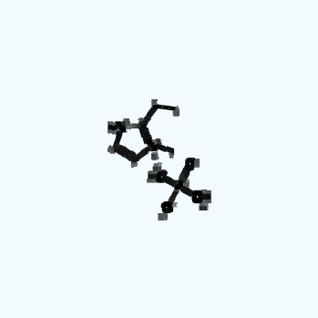 CCc1[nH]cc[n+]1C.O=P([O-])(O)O